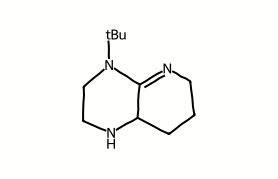 CC(C)(C)N1CCNC2CCCN=C21